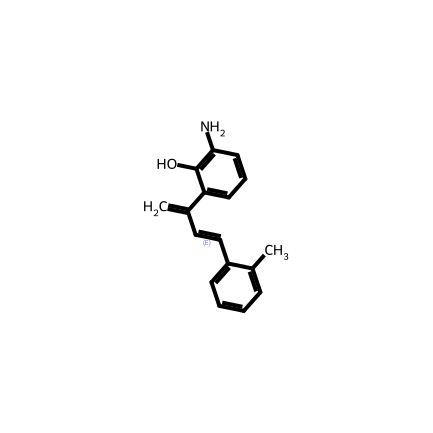 C=C(/C=C/c1ccccc1C)c1cccc(N)c1O